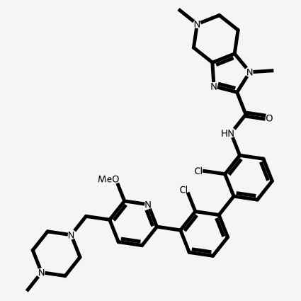 COc1nc(-c2cccc(-c3cccc(NC(=O)c4nc5c(n4C)CCN(C)C5)c3Cl)c2Cl)ccc1CN1CCN(C)CC1